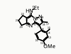 CCNc1c2c(nc3c(-c4ccc(OC)cc4C)c(C)nn13)CCC2